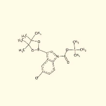 CC(C)(C)OC(=O)n1cc(B2OC(C)(C)C(C)(C)O2)c2cc(Cl)ccc21